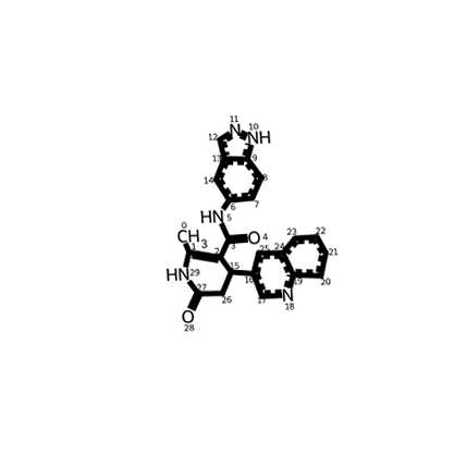 CC1=C(C(=O)Nc2ccc3[nH]ncc3c2)C(c2cnc3ccccc3c2)CC(=O)N1